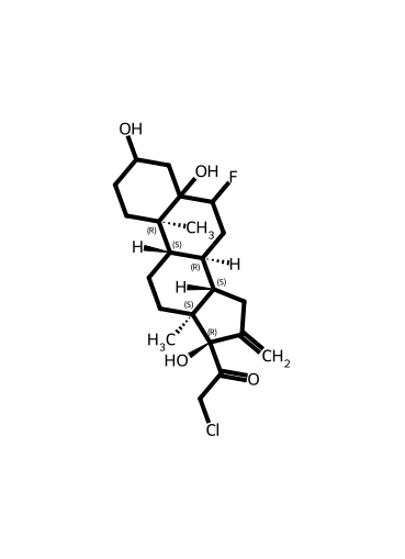 C=C1C[C@H]2[C@@H]3CC(F)C4(O)CC(O)CC[C@]4(C)[C@H]3CC[C@]2(C)[C@@]1(O)C(=O)CCl